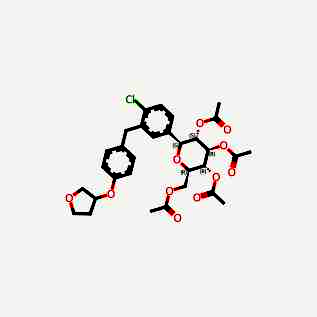 CC(=O)OC[C@H]1O[C@@H](c2ccc(Cl)c(Cc3ccc(OC4CCOC4)cc3)c2)[C@H](OC(C)=O)[C@@H](OC(C)=O)[C@@H]1OC(C)=O